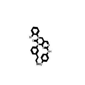 COc1ccc(Nc2ncc3c(n2)N(c2cccc(CCN)c2)C(=O)N(c2ccccc2Br)C3)cc1